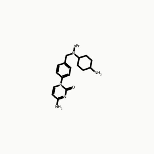 CCCN(Cc1ccc(-n2ccc(N)nc2=O)cc1)C1CCC(N)CC1